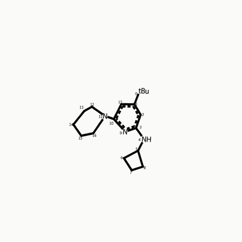 CC(C)(C)c1cc(NC2CCC2)nc(N2CCCCC2)c1